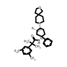 CC(C)(C(=O)N[C@@]1(c2ccccc2)CC[C@@H](N2CCC3(CCOC3)CC2)[C@@H](F)C1)c1cc(C(F)(F)F)cc(C(F)(F)F)c1